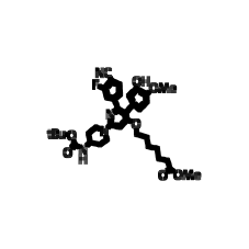 COC(=O)CCCCCCOc1cc(N2CCC(NC(=O)OC(C)(C)C)CC2)nc(-c2ccc(C#N)c(F)c2)c1-c1ccc(OC)c(O)c1